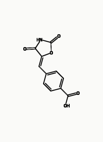 O=C1NC(=O)C(=Cc2ccc(C(=O)O)cc2)O1